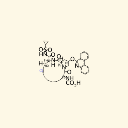 O=C(O)N[C@H]1CCCCC/C=C\[C@@H]2C[C@@]2(C(=O)NS(=O)(=O)C2CC2)NC(=O)[C@@H]2C[C@@H](Oc3nc4ccccc4c4ccccc34)CN2C1=O